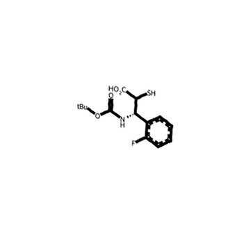 CC(C)(C)OC(=O)N[C@@H](c1ccccc1F)C(S)C(=O)O